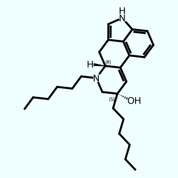 CCCCCCN1C[C@](O)(CCCCCC)C=C2c3cccc4[nH]cc(c34)C[C@H]21